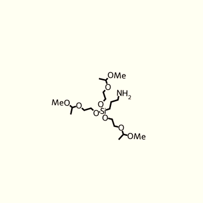 COC(C)OCCO[Si](CCCN)(OCCOC(C)OC)OCCOC(C)OC